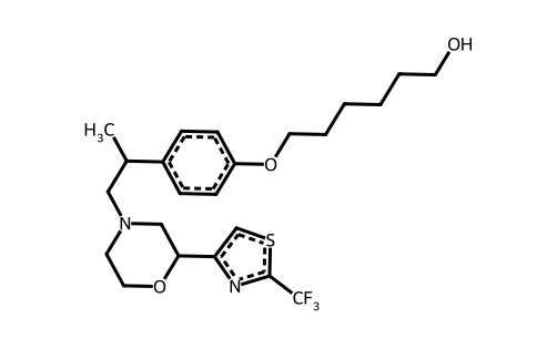 CC(CN1CCOC(c2csc(C(F)(F)F)n2)C1)c1ccc(OCCCCCCO)cc1